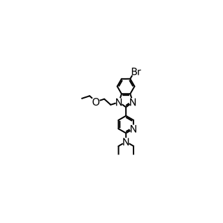 CCOCCn1c(-c2ccc(N(CC)CC)nc2)nc2cc(Br)ccc21